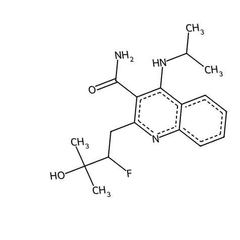 CC(C)Nc1c(C(N)=O)c(CC(F)C(C)(C)O)nc2ccccc12